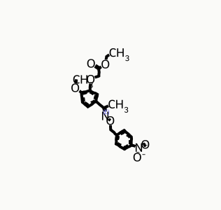 CCOC(=O)COc1cc(/C(C)=N/OCc2ccc([N+](=O)[O-])cc2)ccc1OC